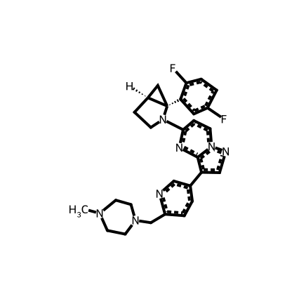 CN1CCN(Cc2ccc(-c3cnn4ccc(N5CC[C@H]6C[C@]65c5cc(F)ccc5F)nc34)cn2)CC1